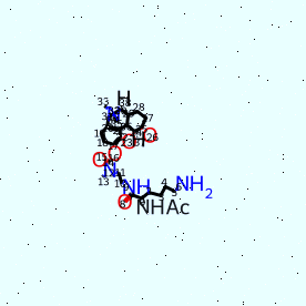 CC(=O)N[C@@H](CCCCN)C(=O)NCCN(C)C(=O)Oc1ccc2c3c1O[C@@H]1C(=O)CCC4[C@H](C2)N(C)CC[C@]341